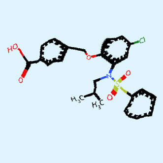 CC(C)CN(c1cc(Cl)ccc1OCc1ccc(C(=O)O)cc1)S(=O)(=O)c1ccccc1